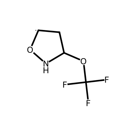 FC(F)(F)OC1C[CH]ON1